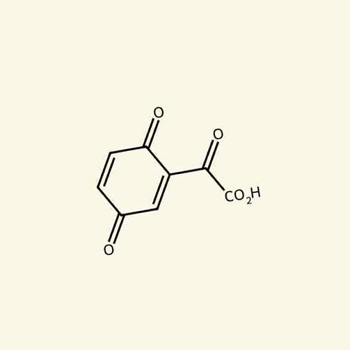 O=C1C=CC(=O)C(C(=O)C(=O)O)=C1